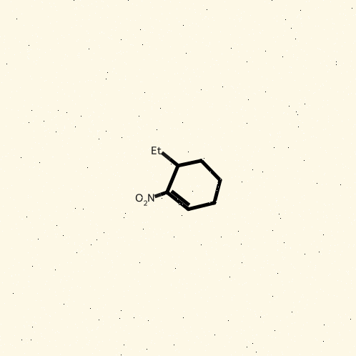 CCC1CCCC=C1[N+](=O)[O-]